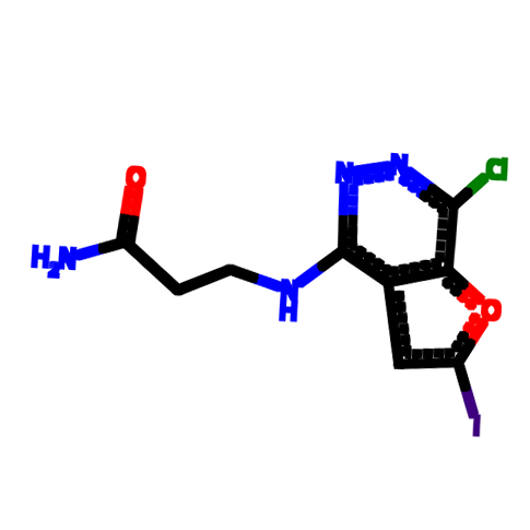 NC(=O)CCNc1nnc(Cl)c2oc(I)cc12